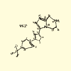 Cl.FC(F)(F)c1ccc(-c2nc(-c3nnc4n3CCNC4)cs2)cc1